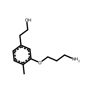 Cc1ccc(CCO)cc1OCCCN